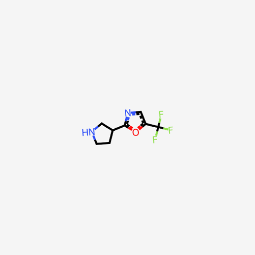 FC(F)(F)c1cnc(C2CCNC2)o1